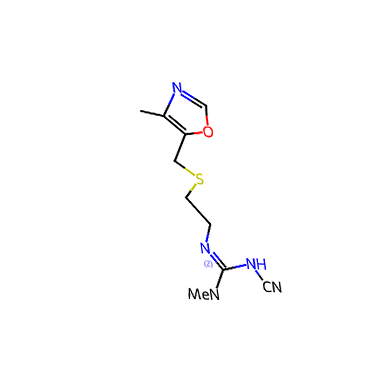 CN/C(=N/CCSCc1ocnc1C)NC#N